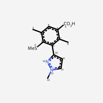 CSc1c(C)cc(C(=O)O)c(C)c1-c1ccn(C)n1